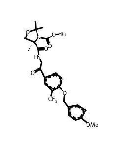 COc1ccc(COc2ccc(C(=O)CNC(=O)[C@@]3(C)COC(C)(C)N3C(=O)OC(C)(C)C)cc2C(F)(F)F)cc1